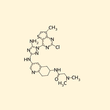 Cc1csc2c(-n3nc(Nc4cnc5c(c4)CC(NC(=O)CN(C)C)CC5)nc3N)nc(Cl)nc12